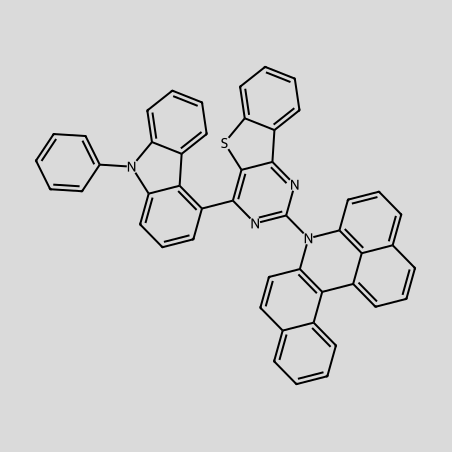 c1ccc(-n2c3ccccc3c3c(-c4nc(N5c6ccc7ccccc7c6-c6cccc7cccc5c67)nc5c4sc4ccccc45)cccc32)cc1